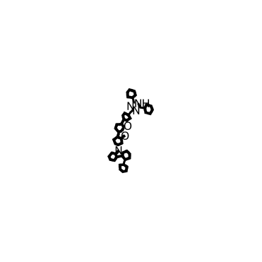 c1ccc(C2=NC(c3ccc4c(c3)oc3c4ccc4c5ccc(-n6c7ccccc7c7c(-c8ccccc8)cccc76)cc5oc43)=NC(c3ccccc3)N2)cc1